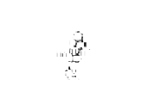 CCCCCCCCCCCC(=O)OC1CC[C@H]2[C@@H]3CC=C4CCCC[C@]4(C)[C@H]3CC[C@]12CO